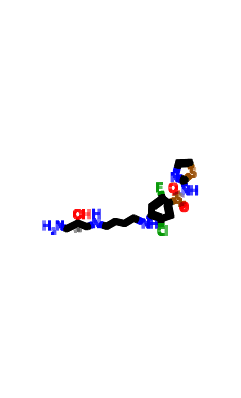 NC[C@H](O)CNCCCCNc1cc(F)c(S(=O)(=O)Nc2nccs2)cc1Cl